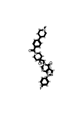 CN1CCC(c2ccc(C(=O)N3CCC(O)(Cn4cnc5c(cnn5-c5ccc(F)cc5)c4=O)CC3)cc2)CC1